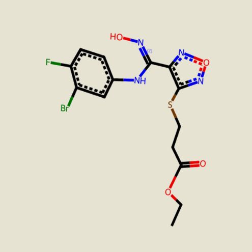 CCOC(=O)CCSc1nonc1/C(=N/O)Nc1ccc(F)c(Br)c1